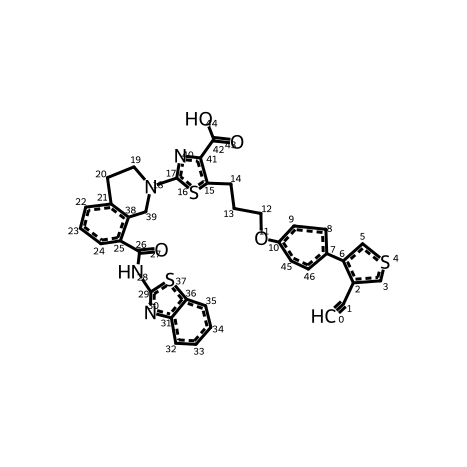 C#Cc1cscc1-c1ccc(OCCCc2sc(N3CCc4cccc(C(=O)Nc5nc6ccccc6s5)c4C3)nc2C(=O)O)cc1